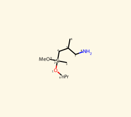 CCCO[Si](C)(CC(C)CN)OC